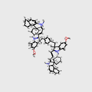 COc1cc(C)c2c(c1)C(C)(Cc1ccc(CC3(C)C(/C=C/C=C4/N(C)c5ccc6ccccc6c5C45CCCCC5)=[N+](C)c4c(C)cc(OC)cc43)cc1)C(/C=C/C=C1/N(C)c3ccc4ccccc4c3C13CCCCC3)=[N+]2C